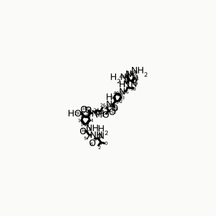 CC(C)[C@H](N)C(=O)N[C@@H](C)C(=O)Nc1ccc(C(=O)O)c(C(=O)NCCC[C@H](NC(=O)c2ccc(NCc3cnc4nc(N)nc(N)c4n3)cc2)C(=O)O)c1